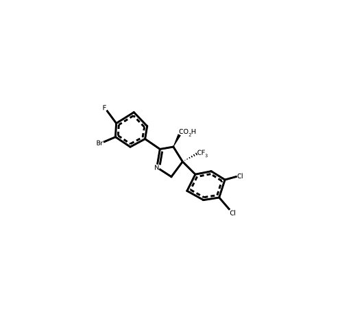 O=C(O)[C@@H]1C(c2ccc(F)c(Br)c2)=NC[C@@]1(c1ccc(Cl)c(Cl)c1)C(F)(F)F